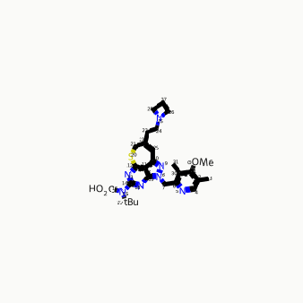 COc1c(C)cnc(Cn2nc3c4c(nc(N(C(=O)O)C(C)(C)C)nc42)SCC(CCN2CCC2)=C3)c1C